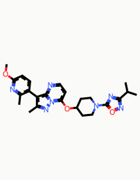 COc1ccc(-c2c(C)nn3c(OC4CCN(c5nc(C(C)C)no5)CC4)ccnc23)c(C)n1